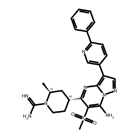 C[C@H]1C[C@H](c2nc3c(-c4ccc(-c5ccccc5)nc4)cnn3c(N)c2S(C)(=O)=O)CCN1C(=N)N